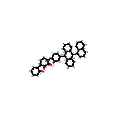 c1ccc2c(-c3c4ccccc4c(-c4ccc5c(c4)oc4c5ccc5c6ccccc6oc54)c4ccccc34)cccc2c1